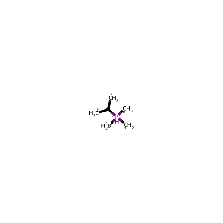 B[PH](C)(C)C(C)C